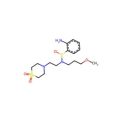 COCCCN(CCN1CCS(=O)(=O)CC1)[S+]([O-])c1ccccc1N